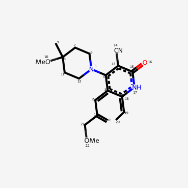 C=C(/C=c1/c(N2CCC(C)(OC)CC2)c(C#N)c(=O)[nH]/c1=C/C)COC